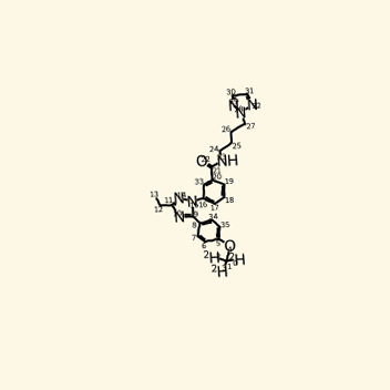 [2H]C([2H])([2H])Oc1ccc(-c2nc(CC)nn2-c2cccc(C(=O)NCCCCn3nccn3)c2)cc1